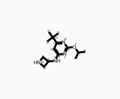 CC(C)Oc1nc(NC2CNC2)cc(C(C)(C)C)n1